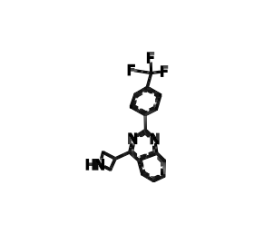 FC(F)(F)c1ccc(-c2nc(C3CNC3)c3ccccc3n2)cc1